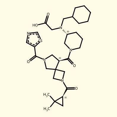 CC1(C)C[C@@H]1C(=O)N1CC2(CN(C(=O)c3cncs3)C[C@H]2C(=O)N2CCC[C@@H](N(CC(=O)O)CC3CCCCC3)C2)C1